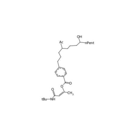 CCCCCC(O)CCCC(CCCc1ccc(C(=O)O/C(C)=C\C(=O)NC(C)(C)C)cc1)C(C)=O